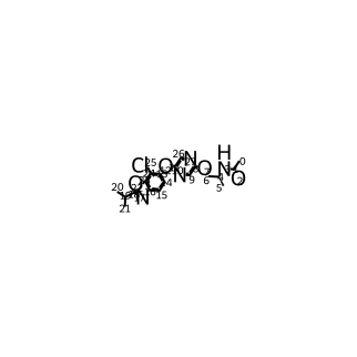 CC(=O)N[C@@H](C)COc1cnc(Oc2ccc3nc(C(C)C)oc3c2Cl)cn1